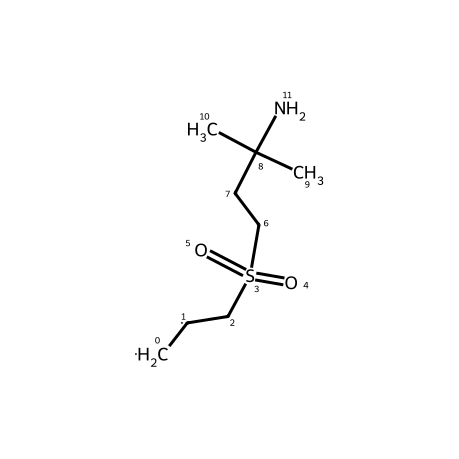 [CH2][CH]CS(=O)(=O)CCC(C)(C)N